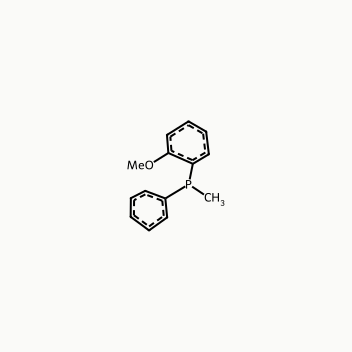 COc1ccccc1P(C)c1ccccc1